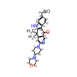 CC1(C)c2cc(N3CCC(N4CCOCC4)CC3)ncc2C(=O)c2c1[nH]c1cc(CN=O)ccc21